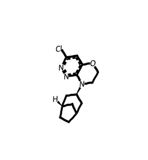 Clc1cc2c(nn1)N([C@H]1CC3CC[C@@H](C3)C1)CCO2